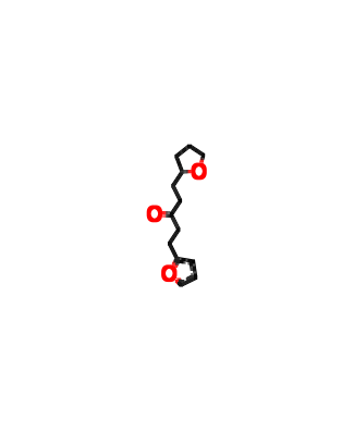 O=C(CCc1ccco1)CCC1CCCO1